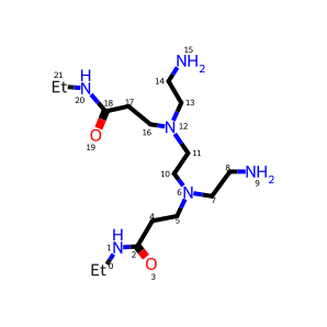 CCNC(=O)CCN(CCN)CCN(CCN)CCC(=O)NCC